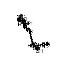 Cc1cc(Nc2ncc(Cl)c(Nc3ccccc3S(=O)(=O)C(C)C)n2)c(OC(C)C)cc1C1CCN(C(=O)CCCCCCCCCC(=O)N[C@H](C(=O)N2C[C@H](O)C[C@H]2C(=O)NCc2ccc(-c3scnc3C)cc2)C(C)(C)C)CC1